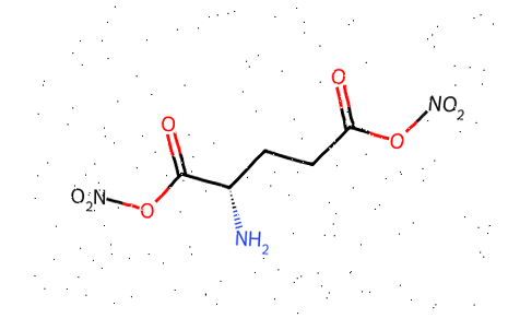 N[C@@H](CCC(=O)O[N+](=O)[O-])C(=O)O[N+](=O)[O-]